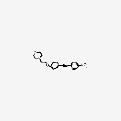 O=[N+]([O-])c1ccc(C#Cc2ccc(OCCN3CCOCC3)cc2)cc1